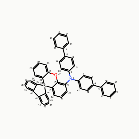 c1ccc(-c2ccc(N(c3ccc(-c4ccccc4)cc3)c3cccc4c3Oc3ccccc3[Si]43c4ccccc4-c4ccccc43)cc2)cc1